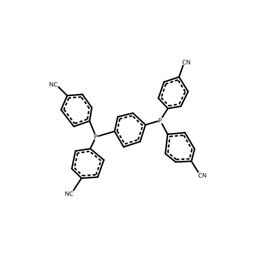 N#Cc1ccc(P(c2ccc(C#N)cc2)c2ccc(P(c3ccc(C#N)cc3)c3ccc(C#N)cc3)cc2)cc1